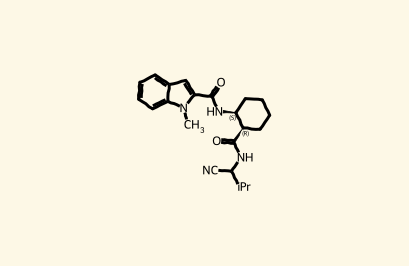 CC(C)C(C#N)NC(=O)[C@@H]1CCCC[C@@H]1NC(=O)c1cc2ccccc2n1C